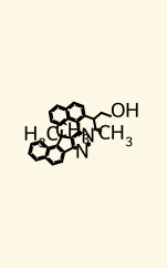 CC1C(CCO)c2ccc3ccccc3c2-c2c3c(nc[n+]21)-c1ccc2ccccc2c1C3(C)C